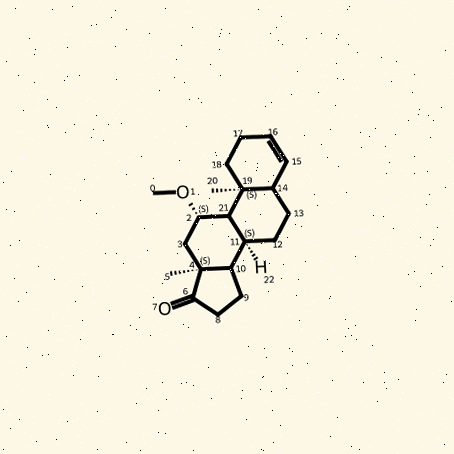 CO[C@H]1C[C@]2(C)C(=O)CCC2[C@@H]2CCC3C=CCC[C@]3(C)C21